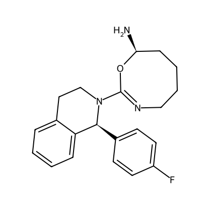 N[C@H]1CCCC/N=C(/N2CCc3ccccc3[C@@H]2c2ccc(F)cc2)O1